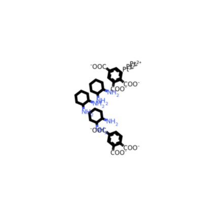 NC1CCCCC1N.NC1CCCCC1N.NC1CCCCC1N.O=C([O-])c1ccc(C(=O)[O-])c(C(=O)[O-])c1.O=C([O-])c1ccc(C(=O)[O-])c(C(=O)[O-])c1.[Pt+2].[Pt+2].[Pt+2]